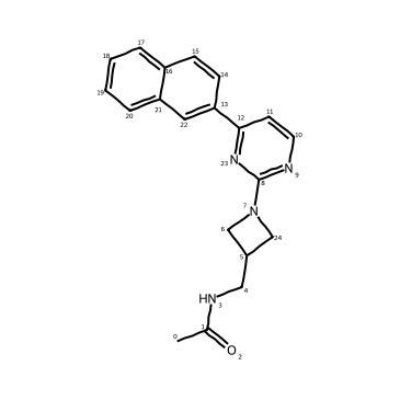 CC(=O)NCC1CN(c2nccc(-c3ccc4ccccc4c3)n2)C1